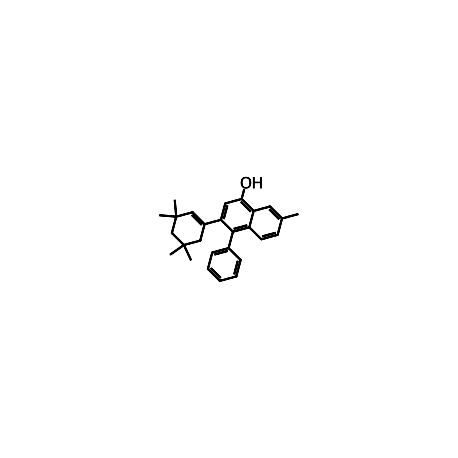 Cc1ccc2c(-c3ccccc3)c(C3=CC(C)(C)CC(C)(C)C3)cc(O)c2c1